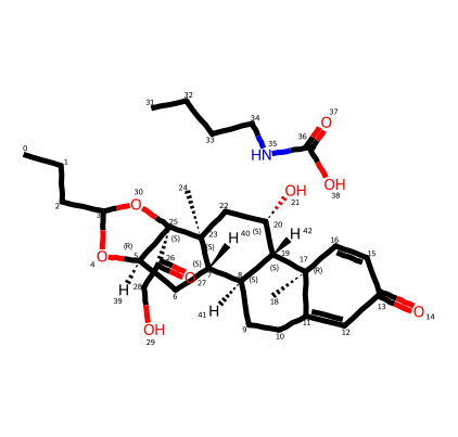 CCCC1O[C@@H]2C[C@H]3[C@@H]4CCC5=CC(=O)C=C[C@]5(C)[C@H]4[C@@H](O)C[C@]3(C)[C@]2(C(=O)CO)O1.CCCCNC(=O)O